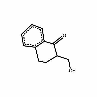 O=C1c2ccccc2CCC1CO